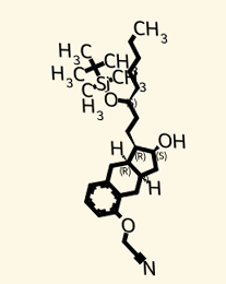 CCCCC[C@@H](CC[C@@H]1[C@@H]2Cc3cccc(OCC#N)c3C[C@@H]2C[C@@H]1O)O[Si](C)(C)C(C)(C)C